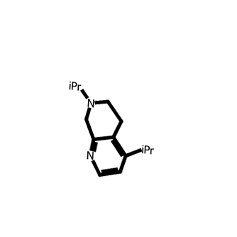 CC(C)c1ccnc2c1CCN(C(C)C)C2